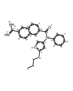 CCCSc1cc(N(C(=O)c2ccc3cc(C(=N)N)ccc3c2)c2ccccc2)co1